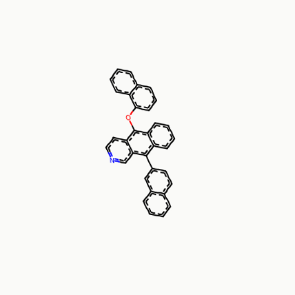 c1ccc2cc(-c3c4ccccc4c(Oc4cccc5ccccc45)c4ccncc34)ccc2c1